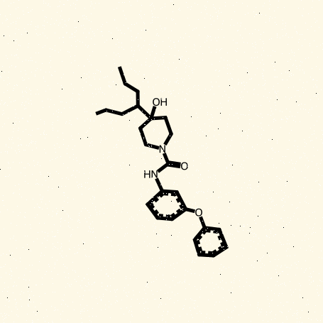 CCCC(CCC)C1(O)CCN(C(=O)Nc2cccc(Oc3ccccc3)c2)CC1